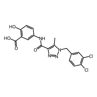 Cc1c(C(=O)Nc2ccc(O)c(C(=O)O)c2)nnn1Cc1ccc(Cl)c(Cl)c1